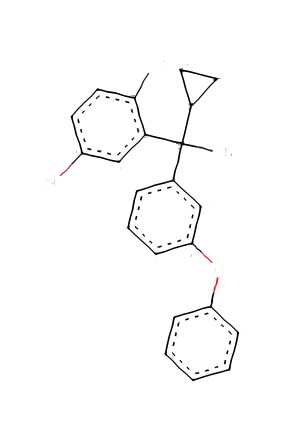 CC(=O)Oc1ccc(Br)cc1C(C#N)(c1cccc(Oc2ccccc2)c1)C1CC1